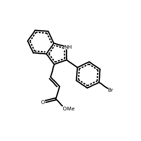 COC(=O)C=Cc1c(-c2ccc(Br)cc2)[nH]c2ccccc12